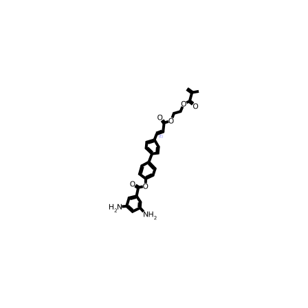 C=C(C)C(=O)OCCOC(=O)/C=C/c1ccc(-c2ccc(OC(=O)c3cc(N)cc(N)c3)cc2)cc1